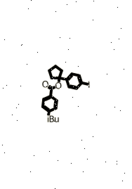 CCC(C)c1ccc(C(=O)OC2(c3ccc(I)cc3)CCCC2)cc1